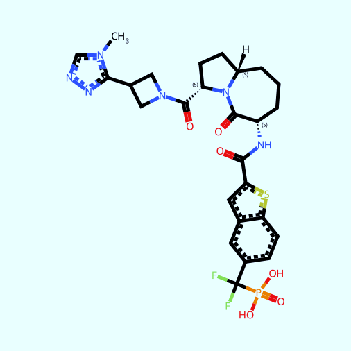 Cn1cnnc1C1CN(C(=O)[C@@H]2CC[C@@H]3CCC[C@H](NC(=O)c4cc5cc(C(F)(F)P(=O)(O)O)ccc5s4)C(=O)N32)C1